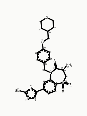 CC(C)(C)c1nnc(-c2ccc3c(c2)N(Cc2ccc(OCC4CCOCC4)cc2)C(=O)[C@@H](N)CS3(=O)=O)o1